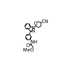 COCC(=O)Nc1cccc(-c2nn(C3CCC(C#N)CO3)c3ccccc23)c1